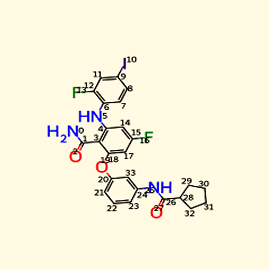 NC(=O)c1c(Nc2ccc(I)cc2F)cc(F)cc1Oc1cccc(NC(=O)C2CCCC2)c1